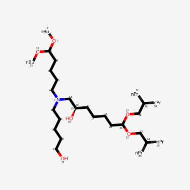 CCCCOC(CCCCN(CCCCCO)C[C@H](O)CCCCC(OCC(CCC)CCC)OCC(CCC)CCC)OCCCC